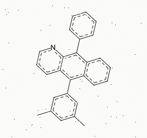 Cc1cc(C)cc(-c2c3ccccc3c(-c3ccccc3)c3ncccc23)c1